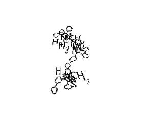 CC(C)(CCC(C)(C)c1nc(-c2ccccc2)c2oc3ccccc3c2n1)c1nc(-c2ccc(-c3cccc(CC(C)(C)c4nc(-c5cccc(-c6ccccc6)c5)c5c(n4)sc4ccccc45)c3)cc2)c2c(n1)sc1ccccc12